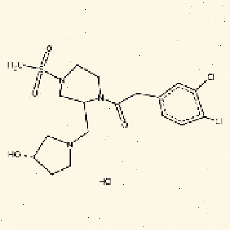 CS(=O)(=O)N1CCN(C(=O)Cc2ccc(Cl)c(Cl)c2)C(CN2CC[C@H](O)C2)C1.Cl